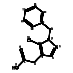 O=C(O)Cc1cnn(Cc2ccccc2)c1Cl